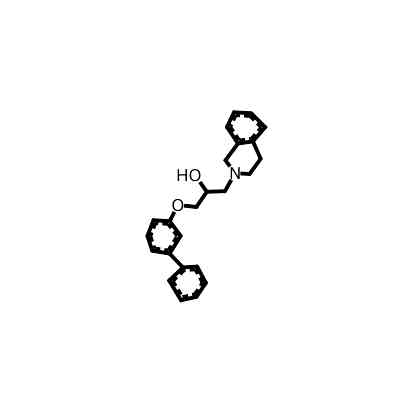 OC(COc1cccc(-c2ccccc2)c1)CN1CCc2ccccc2C1